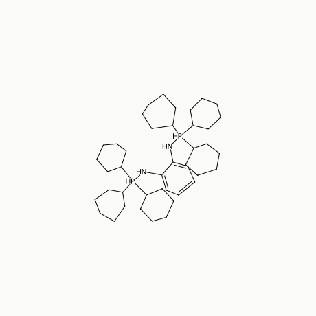 c1ccc(N[PH](C2CCCCC2)(C2CCCCC2)C2CCCCC2)c(N[PH](C2CCCCC2)(C2CCCCC2)C2CCCCC2)c1